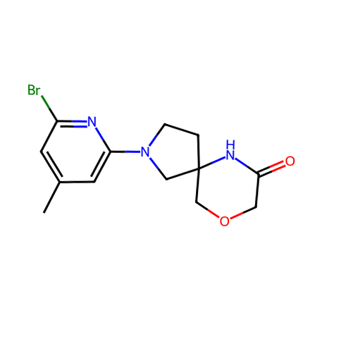 Cc1cc(Br)nc(N2CCC3(COCC(=O)N3)C2)c1